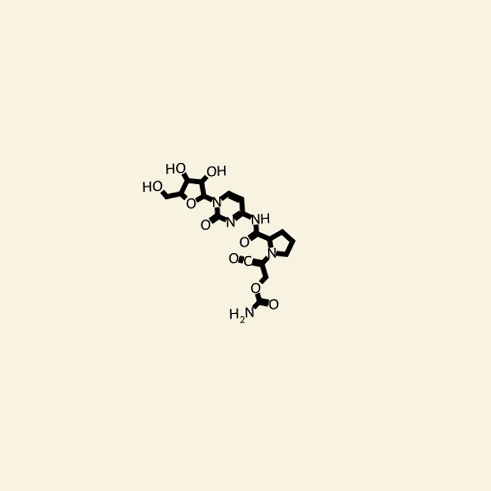 NC(=O)OCC(=C=O)N1CCCC1C(=O)Nc1ccn(C2OC(CO)C(O)C2O)c(=O)n1